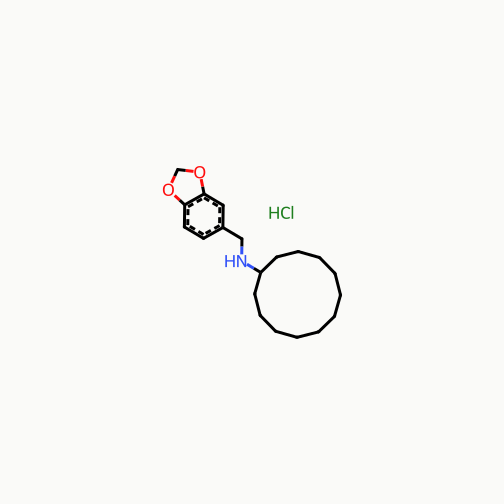 Cl.c1cc2c(cc1CNC1CCCCCCCCCCC1)OCO2